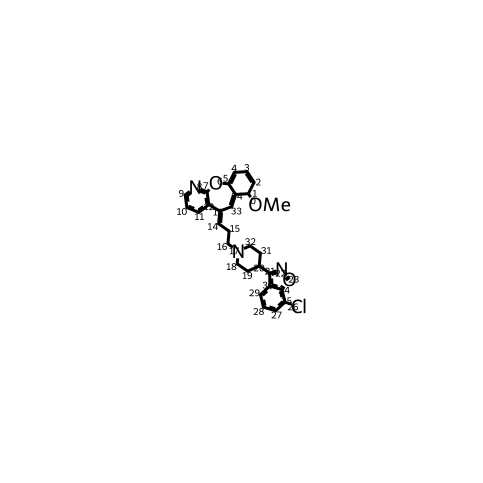 COC1C=CC=C2Oc3ncccc3C(=CCCN3CCC(c4noc5c(Cl)cccc45)CC3)C=C21